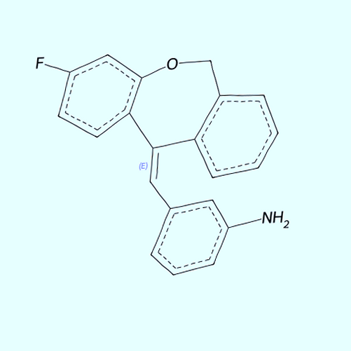 Nc1cccc(/C=C2\c3ccccc3COc3cc(F)ccc32)c1